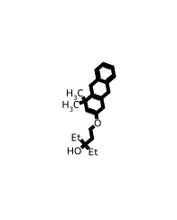 CCC(O)(CC)CCOC1=CC(C)(C)C2=C(C1)Cc1ccccc1C2